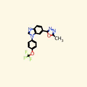 Cc1nnc(-c2ccc3ncn(-c4ccc(OC(F)(F)F)cc4)c3c2)o1